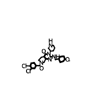 COc1ccc(CNc2nc3c(c(=O)n2C2CCCNC2)CCN(C(=O)c2ccc(Cl)c(Cl)c2)C3)cc1